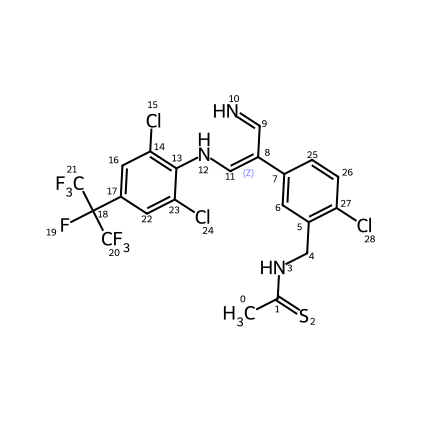 CC(=S)NCc1cc(/C(C=N)=C/Nc2c(Cl)cc(C(F)(C(F)(F)F)C(F)(F)F)cc2Cl)ccc1Cl